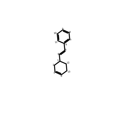 C1=CCC(/C=C/c2ccccc2)CC1